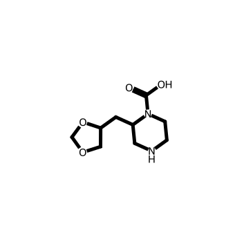 O=C(O)N1CCNCC1CC1COCO1